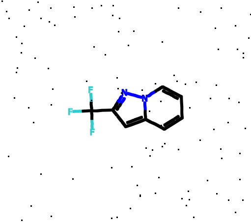 FC(F)(F)c1cc2ccccn2n1